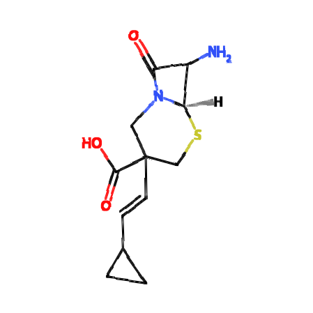 NC1C(=O)N2CC(C=CC3CC3)(C(=O)O)CS[C@H]12